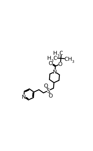 CC(C)(C)OC(=O)N1CCC(CS(=O)(=O)CCc2ccncc2)CC1